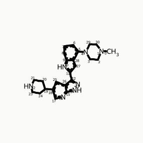 CN1CCN(c2cccc3[nH]c(-c4n[nH]c5ncc(C6CCNCC6)cc45)cc23)CC1